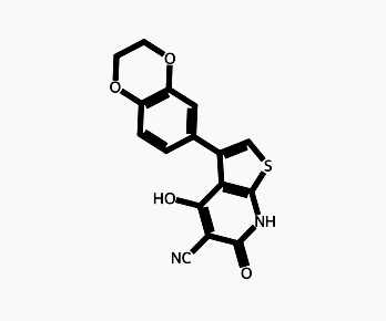 N#Cc1c(O)c2c(-c3ccc4c(c3)OCCO4)csc2[nH]c1=O